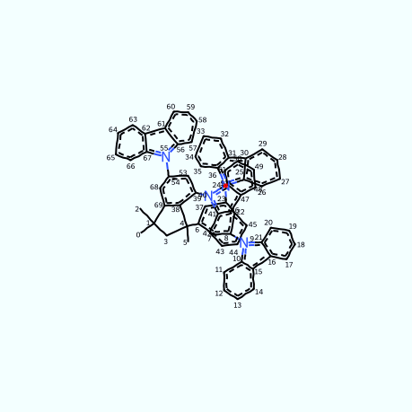 CC1(C)CC(C)(c2cc(-n3c4ccccc4c4ccccc43)cc(-n3c4ccccc4c4ccccc43)c2)c2c(-n3c4ccccc4c4ccccc43)cc(-n3c4ccccc4c4ccccc43)cc21